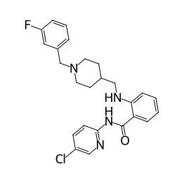 O=C(Nc1ccc(Cl)cn1)c1ccccc1NCC1CCN(Cc2cccc(F)c2)CC1